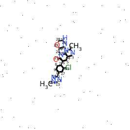 Cc1ncc2cc(-c3ccc(-c4ncn(C)n4)cc3Cl)c(=O)n(C[C@H]3CNCCO3)c2n1